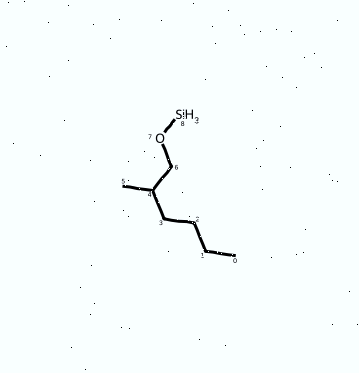 CCCCC(C)CO[SiH3]